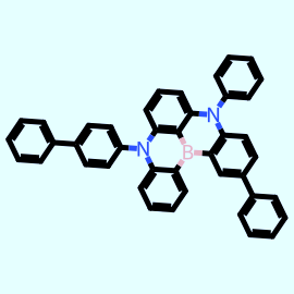 c1ccc(-c2ccc(N3c4ccccc4B4c5cc(-c6ccccc6)ccc5N(c5ccccc5)c5cccc3c54)cc2)cc1